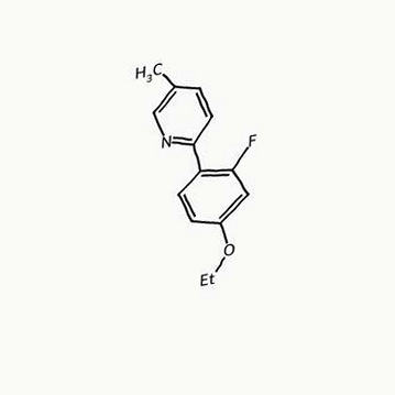 CCOc1ccc(-c2ccc(C)cn2)c(F)c1